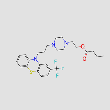 CCCC(=O)OCCN1CCN(CCCN2c3ccccc3Sc3ccc(C(F)(F)F)cc32)CC1